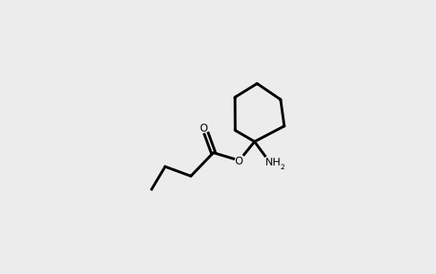 CCCC(=O)OC1(N)CCCCC1